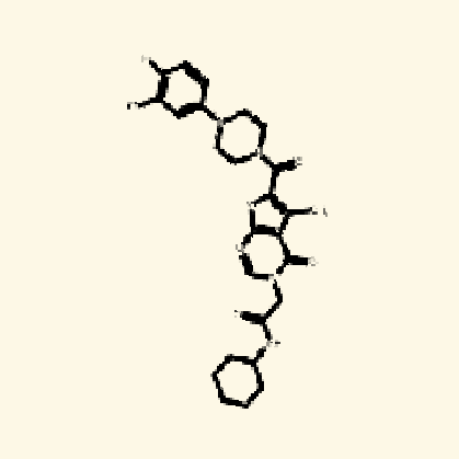 Cc1c(C(=O)N2CCN(c3ccc(F)c(Cl)c3)CC2)sc2ncn(CC(=O)NC3CCCCC3)c(=O)c12